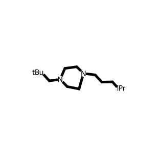 CC(C)CCCN1CCN(CC(C)(C)C)CC1